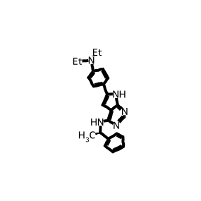 CCN(CC)c1ccc(-c2cc3c(N[C@H](C)c4ccccc4)ncnc3[nH]2)cc1